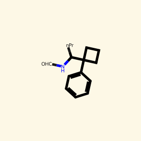 CCCC(NC=O)C1(c2ccccc2)CCC1